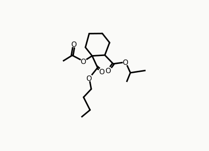 CCCCOC(=O)C1(OC(C)=O)CCCCC1C(=O)OC(C)C